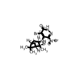 C[C@@H]1[C@H]2C[C@@H](C[C@H]1Nc1c([N+](=O)[O-])n[nH]c(=O)c1Br)C2(C)C